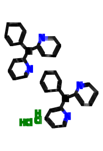 Cl.Cl.c1cc[c]([Bi]([c]2ccccn2)[c]2ccccn2)cc1.c1cc[c]([Bi]([c]2ccccn2)[c]2ccccn2)cc1